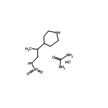 CC(CN[SH](=O)=O)C1CCNCC1.Cl.NC(N)=O